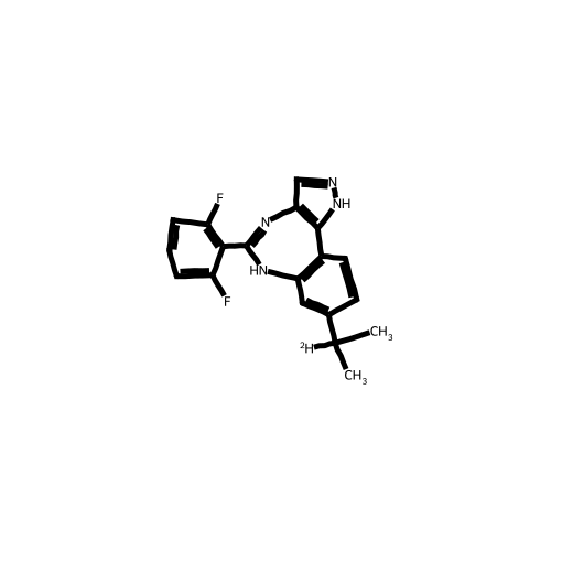 [2H]C(C)(C)c1ccc2c(c1)NC(c1c(F)cccc1F)=Nc1cn[nH]c1-2